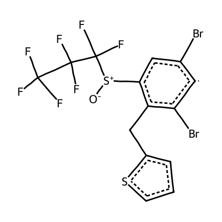 [O-][S+](c1cc(Br)[c]c(Br)c1Cc1cccs1)C(F)(F)C(F)(F)C(F)(F)F